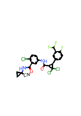 N#CC1(NC(=O)c2cc(NC(=O)C3C(c4ccc(F)c(C(F)F)c4)C3(Cl)Cl)ccc2Cl)CC1